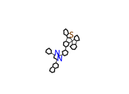 c1ccc(-c2cc(-c3ccc4ccccc4c3)nc(-c3cccc(-c4ccc5c(c4)C4(c6ccccc6-c6ccccc64)c4sc6ccccc6c4-5)c3)n2)cc1